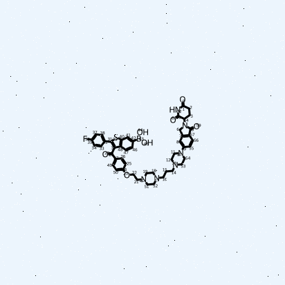 O=C1CCC(N2Cc3cc(N4CCN(CCCN5CCN(CCOc6ccc(C(=O)c7c(-c8ccc(F)cc8)sc8cc(B(O)O)ccc78)cc6)CC5)CC4)ccc3C2=O)C(=O)N1